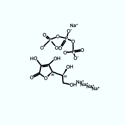 O=C1O[C@H]([C@@H](O)CO)C(O)=C1O.O=P([O-])([O-])OP(=O)([O-])OP(=O)([O-])[O-].[Na+].[Na+].[Na+].[Na+].[Na+]